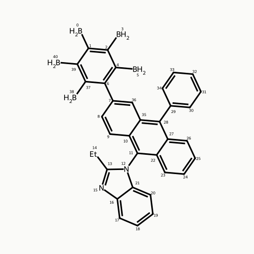 Bc1c(B)c(B)c(-c2ccc3c(-n4c(CC)nc5ccccc54)c4ccccc4c(-c4ccccc4)c3c2)c(B)c1B